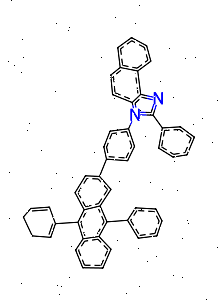 C1=CC(c2c3ccccc3c(-c3ccccc3)c3cc(-c4ccc(-n5c(-c6ccccc6)nc6c7ccccc7ccc65)cc4)ccc23)=CCC1